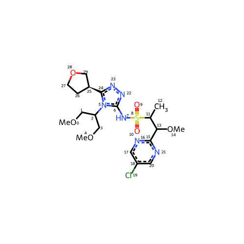 COCC(COC)n1c(NS(=O)(=O)C(C)C(OC)c2ncc(Cl)cn2)nnc1[C@H]1CCOC1